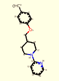 O=Cc1ccc(OCC2CCN(c3ccccn3)CC2)cc1